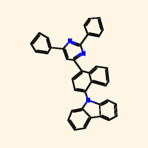 c1ccc(-c2cc(-c3ccc(-n4c5ccccc5c5ccccc54)c4ccccc34)nc(-c3ccccc3)n2)cc1